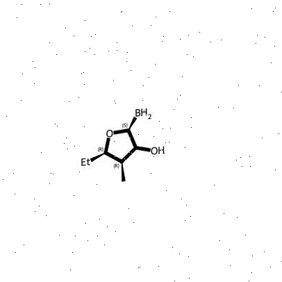 B[C@@H]1O[C@H](CC)[C@H](C)C1O